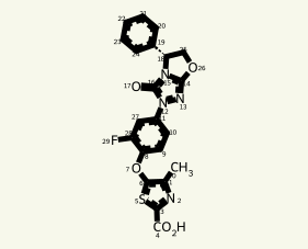 Cc1nc(C(=O)O)sc1Oc1ccc(-n2nc3n(c2=O)[C@H](c2ccccc2)CO3)cc1F